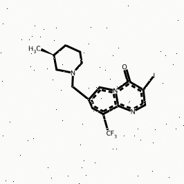 C[C@H]1CCCN(Cc2cc(C(F)(F)F)c3ncc(I)c(=O)n3c2)C1